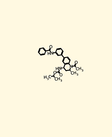 CC(=O)N1c2ccc(-c3cccc(NC(=O)c4ccccc4)c3)cc2[C@H](NC(=O)OC(C)C)C[C@@H]1C